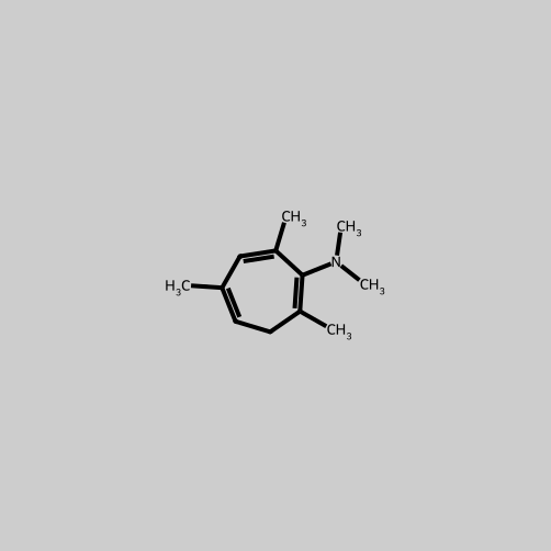 CC1=CCC(C)=C(N(C)C)C(C)=C1